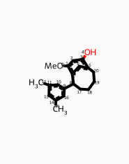 COc1cc(O)c2cc1C(c1cc(C)cc(C)c1)CCCC2